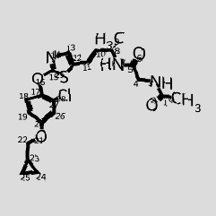 CC(=O)NCC(=O)N[C@@H](C)/C=C/c1cnc(Oc2ccc(OCC3CC3)cc2Cl)s1